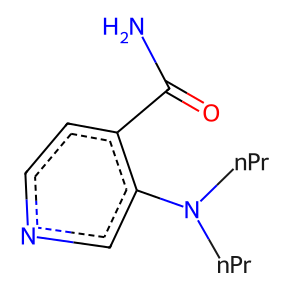 CCCN(CCC)c1cnccc1C(N)=O